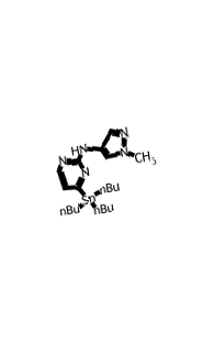 CCC[CH2][Sn]([CH2]CCC)([CH2]CCC)[c]1ccnc(Nc2cnn(C)c2)n1